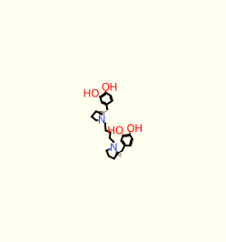 Oc1ccc(C[C@H]2CCCN2CCCCCN2CCC[C@@H]2Cc2ccc(O)c(O)c2)cc1O